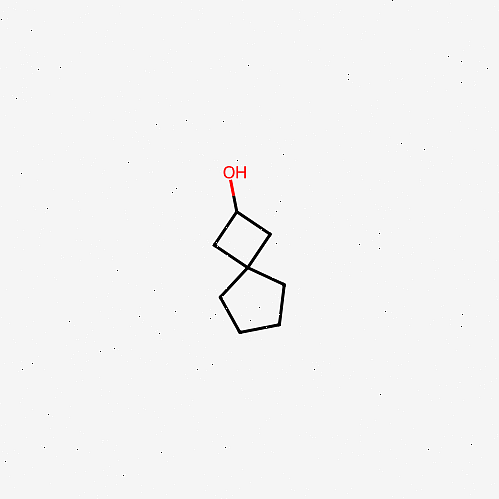 OC1CC2(CCCC2)C1